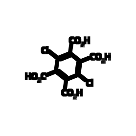 O=C(O)c1c(Cl)c(C(=O)O)c(C(=O)O)c(Cl)c1C(=O)O